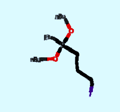 CCCCO[Si](CC)(CCCI)OCCCC